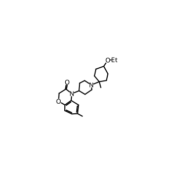 CCOC1CCC(C)(N2CCC(N3C(=O)COc4ccc(C)cc43)CC2)CC1